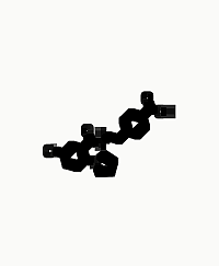 O=C(O)c1ccc(CCNC(=O)c2cc(Cl)ccc2-n2cccc2)cc1